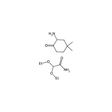 CC1(C)CCC(=O)C(N)C1.CCOC(OCC)C(N)=O